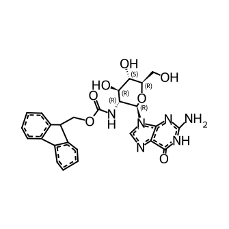 Nc1nc2c(ncn2[C@@H]2O[C@H](CO)[C@@H](O)[C@H](O)[C@H]2NC(=O)OCC2c3ccccc3-c3ccccc32)c(=O)[nH]1